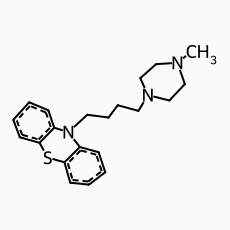 CN1CCN(CCCCN2c3ccccc3Sc3ccccc32)CC1